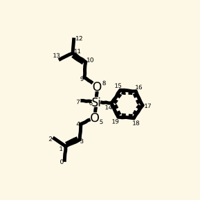 CC(C)=CCO[Si](C)(OCC=C(C)C)c1ccccc1